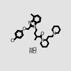 Cc1cccc2c1nc(COc1ccc(Cl)cc1)n2CCC(C)C(=O)N1CCCCC1CCN1CCCCC1.Cl.Cl